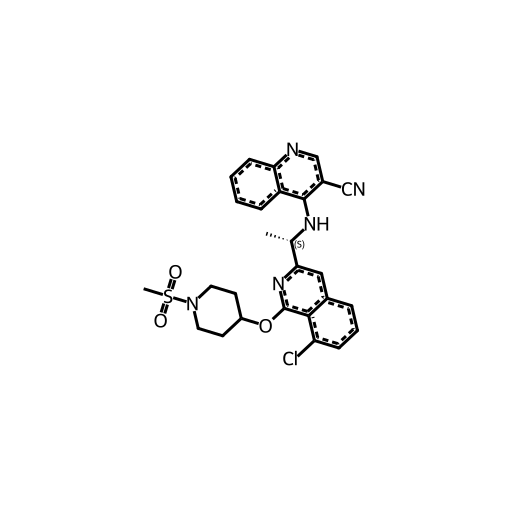 C[C@H](Nc1c(C#N)cnc2ccccc12)c1cc2cccc(Cl)c2c(OC2CCN(S(C)(=O)=O)CC2)n1